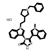 Cl.Cn1cc(-c2n[nH]c(=O)n2-c2cn(CCC3CCN(Cc4ccccc4)C3)c3ccccc23)c2ccccc21